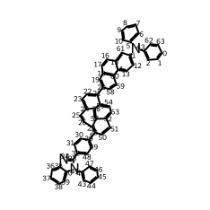 c1ccc(N(c2ccccc2)c2ccc3c(ccc4cc(-c5ccc6ccc7c(-c8ccc(-c9nc%10ccccc%10n9-c9ccccc9)cc8)ccc8ccc5c6c87)ccc43)c2)cc1